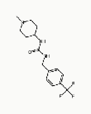 CN1CCC(NC(=O)NCc2ccc(C(F)(F)F)cc2)CC1